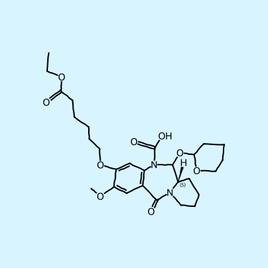 CCOC(=O)CCCCCOc1cc2c(cc1OC)C(=O)N1CCCC[C@H]1C(OC1CCCCO1)N2C(=O)O